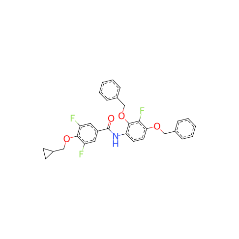 O=C(Nc1ccc(OCc2ccccc2)c(F)c1OCc1ccccc1)c1cc(F)c(OCC2CC2)c(F)c1